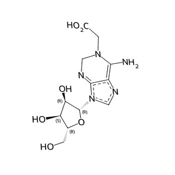 NC1=c2ncn([C@@H]3O[C@H](CO)[C@@H](O)[C@H]3O)c2=NCN1CC(=O)O